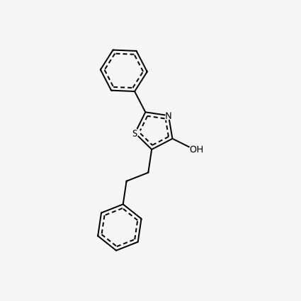 Oc1nc(-c2ccccc2)sc1CCc1ccccc1